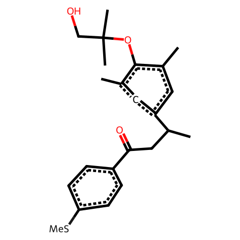 CSc1ccc(C(=O)CC(C)c2cc(C)c(OC(C)(C)CO)c(C)c2)cc1